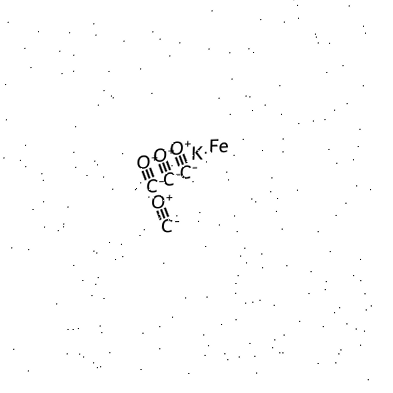 [C-]#[O+].[C-]#[O+].[C-]#[O+].[C-]#[O+].[Fe].[K]